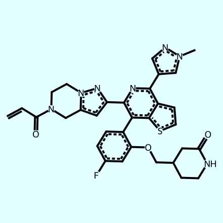 C=CC(=O)N1CCn2nc(-c3nc(-c4cnn(C)c4)c4ccsc4c3-c3ccc(F)cc3OCC3CCNC(=O)C3)cc2C1